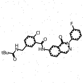 CC(C)(C)C(=O)NCc1ccc(Cl)c(C(=O)Nc2ccc3cnn(-c4cccc(F)c4)c(=O)c3c2)c1